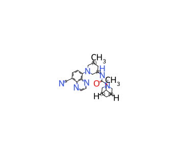 C[C@H]1C[C@@H](NC(=O)CC2[C@@H]3C[C@H]2CN(C)C3)CN(c2ccc(C#N)c3nccnc23)C1